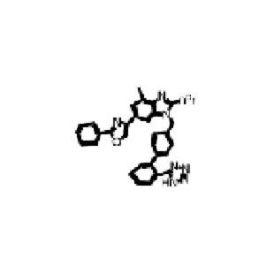 CCCc1nc2c(C)cc(-c3coc(-c4ccccc4)n3)cc2n1Cc1ccc(-c2ccccc2-c2nnn[nH]2)cc1